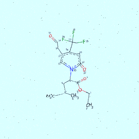 CCOC(=O)C(CC(C)C)n1cc(CC=O)c(C(F)(F)F)cc1=O